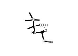 CC(C)(C)OC(=O)N[C@@](C)(C(=O)O)[Si](C)(C)C